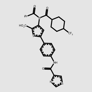 CC(C)C(=O)N(C(=O)C1CCC(C(F)(F)F)CC1)c1cc(-c2ccc(NC(=O)c3cscn3)cc2)sc1C(=O)O